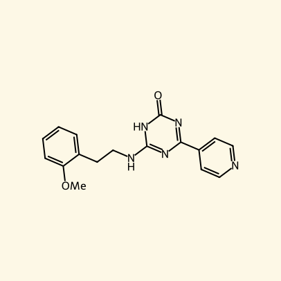 COc1ccccc1CCNc1nc(-c2ccncc2)nc(=O)[nH]1